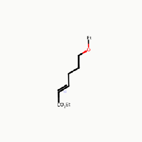 CCOCCC/C=C/C(=O)OCC